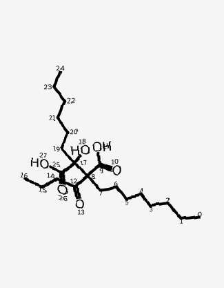 CCCCCCCCC(C(=O)O)(C(=O)CCC)C(O)(CCCCCC)C(=O)O